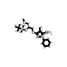 COC[C@@H](COc1nn(-c2ccccc2)c(N)c1C)O[Si](C)(C)C(C)(C)C